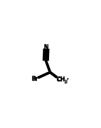 [CH2]C(Br)C#N